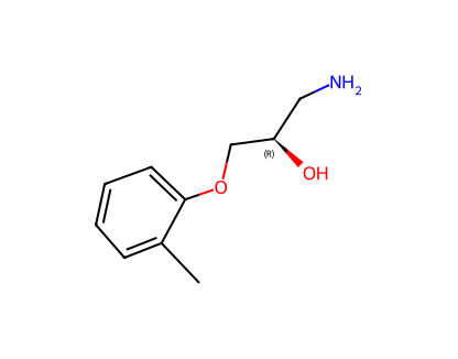 Cc1ccccc1OC[C@H](O)CN